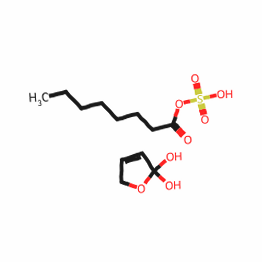 CCCCCCCC(=O)OS(=O)(=O)O.OC1(O)C=CCO1